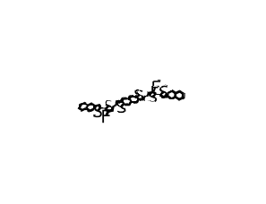 Fc1cc(-c2cc3cc4cc5sc(-c6cc(F)c(-c7cc8cc9ccccc9cc8s7)s6)cc5cc4cc3s2)sc1-c1cc2cc3ccccc3cc2s1